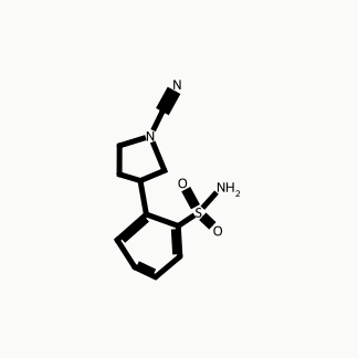 N#CN1CCC(c2ccccc2S(N)(=O)=O)C1